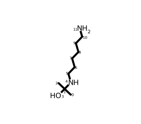 CC(C)(O)NCCCCCCN